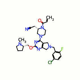 C=CC(=O)N1CCN(c2nc(OC[C@@H]3CCCN3C)nc3c2CN(Cc2cc(Cl)ccc2F)C3)C[C@@H]1CC#N